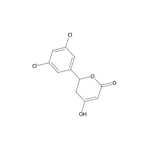 O=C1C=C(O)CC(c2cc(Cl)cc(Cl)c2)O1